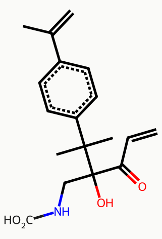 C=CC(=O)C(O)(CNC(=O)O)C(C)(C)c1ccc(C(=C)C)cc1